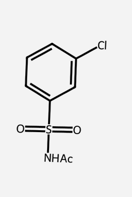 CC(=O)NS(=O)(=O)c1cccc(Cl)c1